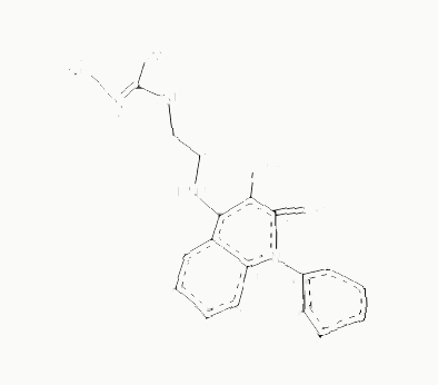 CCOC(=O)c1c(NCCNC(=NC#N)SC)c2ccccc2n(-c2ccccc2)c1=O